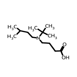 CC(C)CCN(CCCC(=O)O)C(C)(C)C